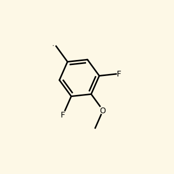 [CH2]c1cc(F)c(OC)c(F)c1